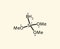 B[Si](OC)(OC)OC